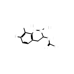 CCC(=O)NC1Cc2ccc(F)c(C(=O)O)c2OB1O